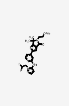 COCCN1C(=O)c2cc(-c3ccnc(Nc4ccnn4CC(F)F)c3)sc2C1(C)C